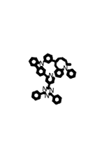 C=C1/C=C\C=C(\c2cccc(-n3c4ccccc4c4ccc(-c5cc(-c6nc(-c7ccccc7)nc(-c7ccccc7)n6)ccn5)cc43)c2)Cc2ccccc2N1c1ccccc1